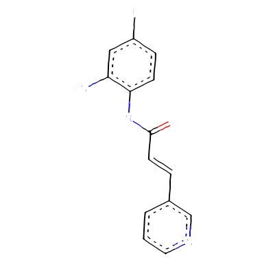 CCc1ccc(NC(=O)/C=C/c2cccnc2)c(N)c1